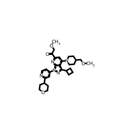 COCC(=O)c1cc(N2CCC(COC)CC2)c2c(C3CCC3)nn(-c3ccnc(C4CCOCC4)c3)c2n1